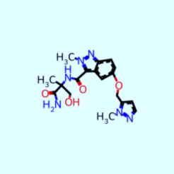 Cn1nccc1COc1ccc2nn(C)c(C(=O)NC(C)(CO)C(N)=O)c2c1